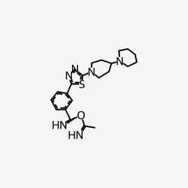 CC(=N)OC(=N)c1cccc(-c2nnc(N3CCC(N4CCCCC4)CC3)s2)c1